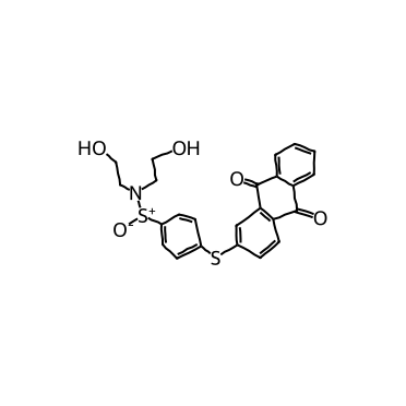 O=C1c2ccccc2C(=O)c2cc(Sc3ccc([S+]([O-])N(CCO)CCO)cc3)ccc21